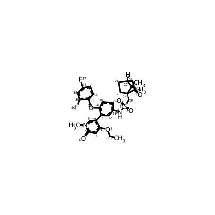 CCOc1cc(=O)n(C)cc1-c1cc(NS(=O)(=O)C[C@]23CC[C@H](CC2=O)C3(C)C)ccc1Oc1ccc(F)cc1F